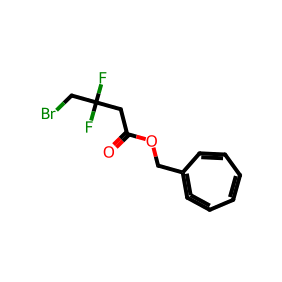 O=C(CC(F)(F)CBr)OCC1=C=CC=CC=C1